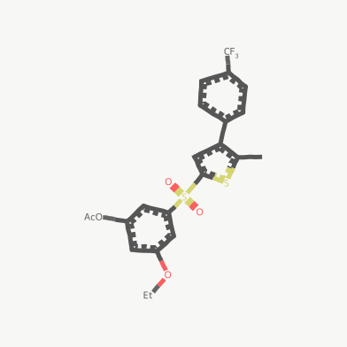 CCOc1cc(OC(C)=O)cc(S(=O)(=O)c2cc(-c3ccc(C(F)(F)F)cc3)c(C)s2)c1